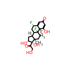 CC12C(O)=CC(=O)C=C1[C@@H](F)CC1[C@@H]3C[C@@H](O)[C@](O)(C(=O)CO)[C@@]3(C)CCC12F